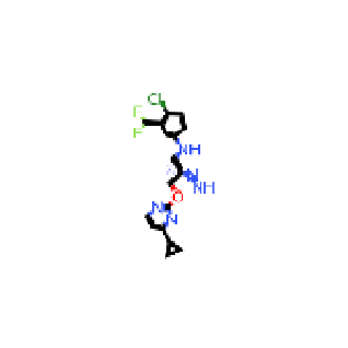 N=N/C(=C\Nc1ccc(Cl)c(C(F)F)c1)COc1nccc(C2CC2)n1